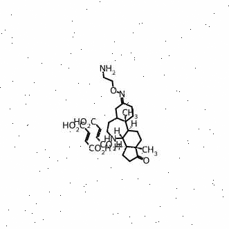 C[C@]12CC/C(=N/OCCN)CC1CCN[C@@H]1[C@@H]2CC[C@]2(C)C(=O)CC[C@@H]12.O=C(O)/C=C/C(=O)O.O=C(O)/C=C/C(=O)O